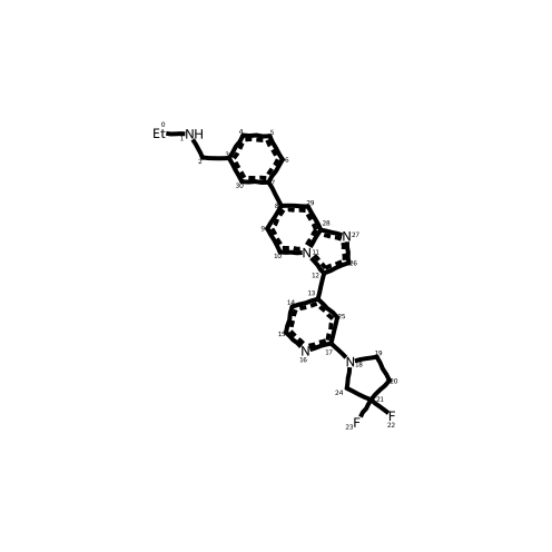 CCNCc1cccc(-c2ccn3c(-c4ccnc(N5CCC(F)(F)C5)c4)cnc3c2)c1